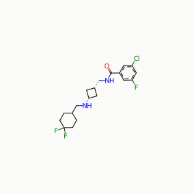 O=C(NC[C@H]1C[C@@H](NCC2CCC(F)(F)CC2)C1)c1cc(F)cc(Cl)c1